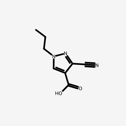 CCCn1cc(C(=O)O)c(C#N)n1